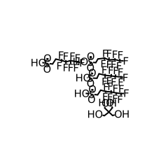 O=S(=O)(O)CCC(F)(F)C(F)(F)C(F)(F)C(F)(F)F.O=S(=O)(O)CCC(F)(F)C(F)(F)C(F)(F)C(F)(F)F.O=S(=O)(O)CCC(F)(F)C(F)(F)C(F)(F)C(F)(F)F.O=S(=O)(O)CCC(F)(F)C(F)(F)C(F)(F)C(F)(F)F.OCC(CO)(CO)CO